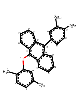 Cc1ccc(C)c(Oc2c3ccccc3c(-c3ccc(OCC(C)C)c(OCC(C)C)c3)c3ccccc23)c1